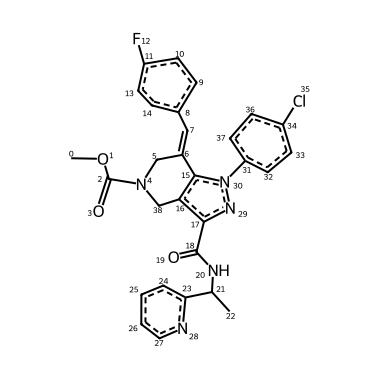 COC(=O)N1CC(=Cc2ccc(F)cc2)c2c(c(C(=O)NC(C)c3ccccn3)nn2-c2ccc(Cl)cc2)C1